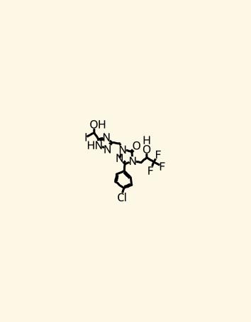 O=c1n(Cc2n[nH]c(C(O)I)n2)nc(-c2ccc(Cl)cc2)n1CC(O)C(F)(F)F